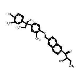 CCC(S)C(=O)c1ccc2cc(COc3ccc(C(C)(CC)c4ccc(O)c(C)c4)cc3C)ccc2c1